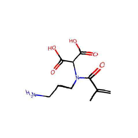 C=C(C)C(=O)N(CCCN)C(C(=O)O)C(=O)O